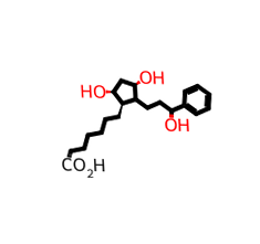 O=C(O)CCCCCC[C@@H]1C(CCC(O)c2ccccc2)[C@H](O)C[C@@H]1O